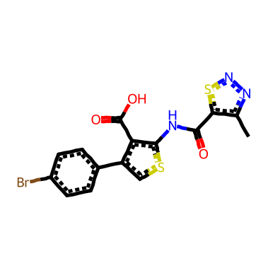 Cc1nnsc1C(=O)Nc1scc(-c2ccc(Br)cc2)c1C(=O)O